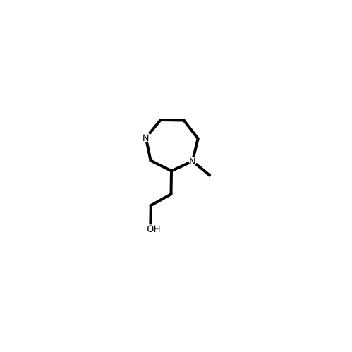 CN1CCC[N]CC1CCO